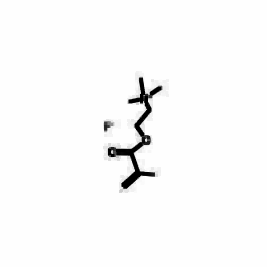 C=C(C)C(=O)OCC[N+](C)(C)C.[F-]